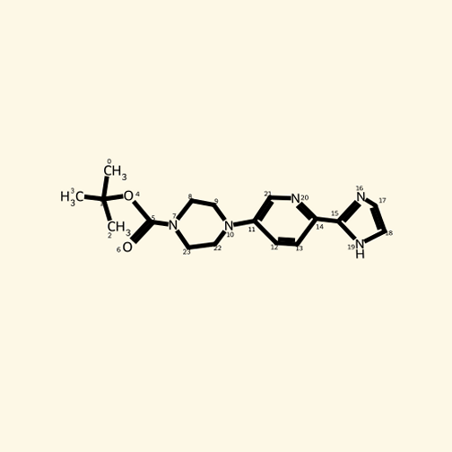 CC(C)(C)OC(=O)N1CCN(c2ccc(-c3ncc[nH]3)nc2)CC1